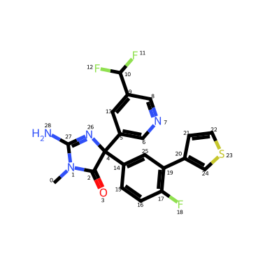 CN1C(=O)C(c2cncc(C(F)F)c2)(c2ccc(F)c(-c3ccsc3)c2)N=C1N